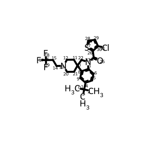 CC(C)(C)c1ccc2c(c1)C1(CCN(CCC(F)(F)F)CC1)CN2C(=O)c1sccc1Cl